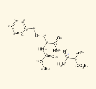 CCCC(C(=O)OCC)/C(N)=N/NC(=O)C(COCc1ccccc1)NC(=O)OC(C)(C)C